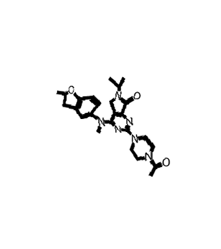 CC(=O)N1CCN(c2nc3c(c(N(C)c4ccc5c(c4)CC(C)O5)n2)CN(C(C)C)C3=O)CC1